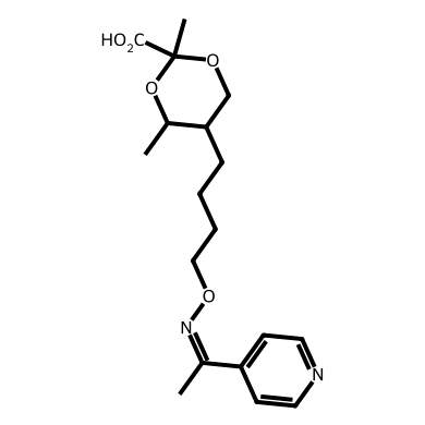 CC(=NOCCCCC1COC(C)(C(=O)O)OC1C)c1ccncc1